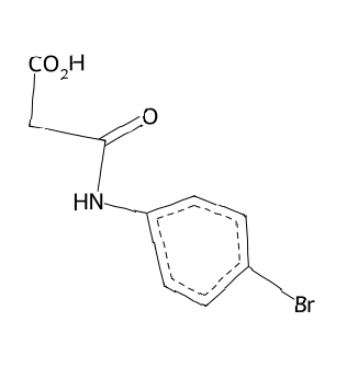 O=C(O)CC(=O)Nc1ccc(Br)cc1